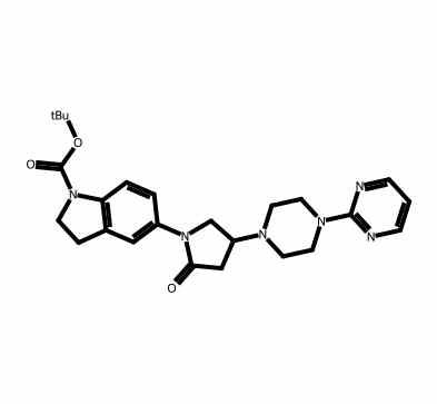 CC(C)(C)OC(=O)N1CCc2cc(N3CC(N4CCN(c5ncccn5)CC4)CC3=O)ccc21